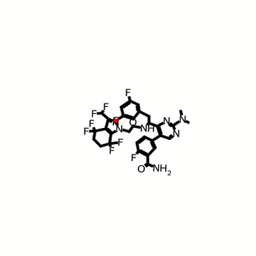 CN(C)c1ncc(-c2ccc(F)c(C(N)=O)c2)c(C(Cc2cc(F)cc(F)c2)NC(=O)Cn2nc(C(F)F)c3c2C(F)(F)CCC3(F)F)n1